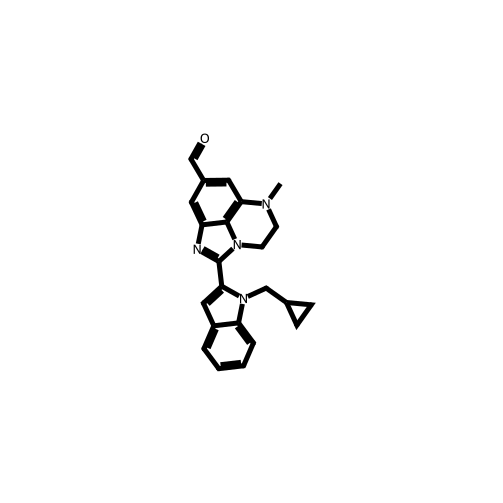 CN1CCn2c(-c3cc4ccccc4n3CC3CC3)nc3cc(C=O)cc1c32